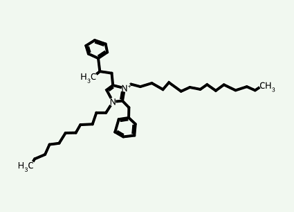 CCCCCCCCCCCCCCC[n+]1c(CC(C)c2ccccc2)cn(CCCCCCCCCCC)c1Cc1ccccc1